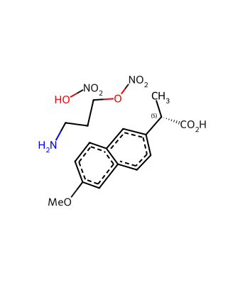 COc1ccc2cc([C@H](C)C(=O)O)ccc2c1.NCCCO[N+](=O)[O-].O=[N+]([O-])O